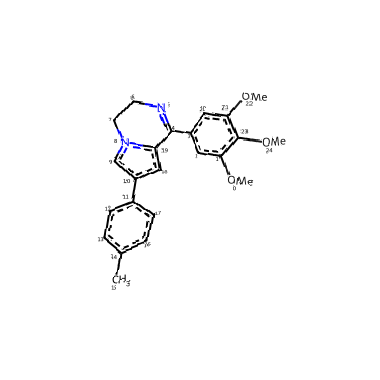 COc1cc(C2=NCCn3cc(-c4ccc(C)cc4)cc32)cc(OC)c1OC